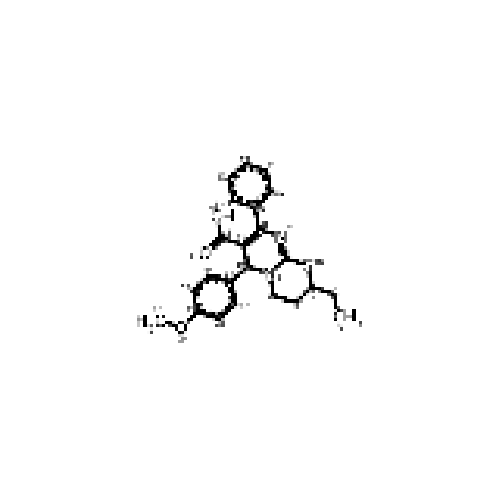 CCC1CCN2C(=NC(c3ccccc3)=C(C(=O)O)C2c2ccc(OC)cc2)S1